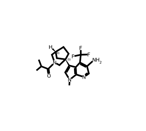 CC(C)C(=O)N1C[C@@H]2CC[C@@](c3cn(C)c4ncc(N)c(C(F)(F)F)c34)(C2)C1